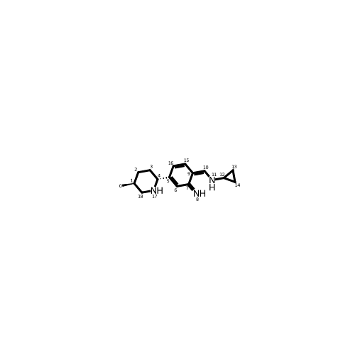 C[C@H]1CC[C@H](C2=CC(=N)/C(=C\NC3CC3)C=C2)NC1